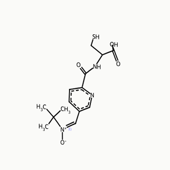 CC(C)(C)/[N+]([O-])=C\c1ccc(C(=O)NC(CS)C(=O)O)nc1